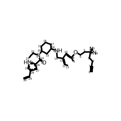 C#CCCC1(CCO/C(C)=C/C(=C\C)CNC2CCCC(N(CC)C(=O)c3cc(C=C)c[nH]3)C2)N=N1